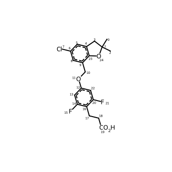 CC1(C)Cc2cc(Cl)cc(COc3cc(F)c(CCC(=O)O)c(F)c3)c2O1